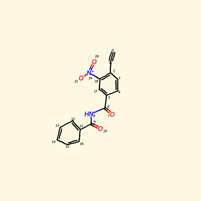 C#Cc1ccc(C(=O)NC(=O)c2ccccc2)cc1[N+](=O)[O-]